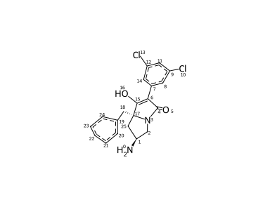 N[C@@H]1CN2C(=O)C(c3cc(Cl)cc(Cl)c3)=C(O)[C@]2(Cc2ccccc2)C1